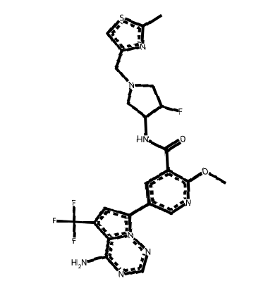 COc1ncc(-c2cc(C(F)(F)F)c3c(N)ncnn23)cc1C(=O)NC1CN(Cc2csc(C)n2)CC1F